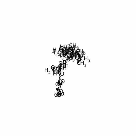 C=C(NCC(=O)c1ccc(C)cc1C)[C@H](C)[C@@H](OC)[C@@H]1C[C@H](OC(=O)OCc2ccc(NC(=O)[C@H](CCCNC(N)=O)NC(=O)CNC(=O)CCCCCN3C(=O)CC(SCC4(CC(=O)ON5C(=O)CCC5=O)CC4)C3=O)cc2)CN1C(=O)C[C@@H](OC)C([C@@H](C)CC)N(C)C(=O)[C@@H](NC(=O)[C@H](C(C)C)N(C)C)C(C)C